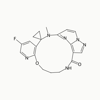 CN1c2ccn3ncc(c3n2)C(=O)NCCCOc2ncc(F)cc2C12CC2